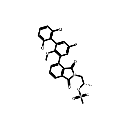 COc1c(-c2cccc3c2C(=O)N(C[C@H](C)OS(C)(=O)=O)C3=O)cc(F)cc1-c1c(Cl)cccc1Cl